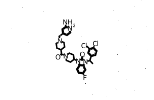 CC(c1ccc(Cl)c(Cl)c1)n1c(=O)n(C2CCN(C(=O)C3CCN(Cc4ccnc(N)c4)CC3)CC2)c2ccc(F)cc21